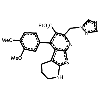 CCOC(=O)c1c(Cn2cncn2)nc2sc3c(c2c1-c1ccc(OC)c(OC)c1)CCCN3